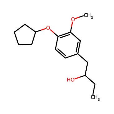 CCC(O)Cc1ccc(OC2CCCC2)c(OC)c1